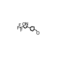 O=Cc1ccc(-c2cc(C(F)(F)F)on2)cc1